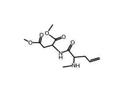 C=CCC(NC)C(=O)NC(CC(=O)OC)C(=O)OC